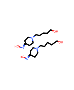 OCCCCCN1CCC(=NO)CC1.OCCCCCN1CCC(=NO)CC1